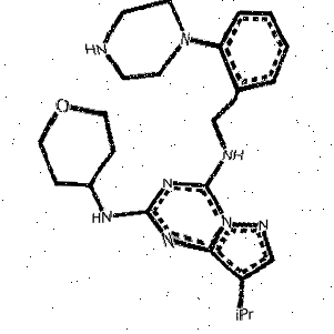 CC(C)c1cnn2c(NCc3ccccc3N3CCNCC3)nc(NC3CCOCC3)nc12